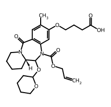 C=CCOC(=O)N1c2cc(OCCCC(=O)O)c(C)cc2C(=O)N2CCCC[C@H]2C1OC1CCCCO1